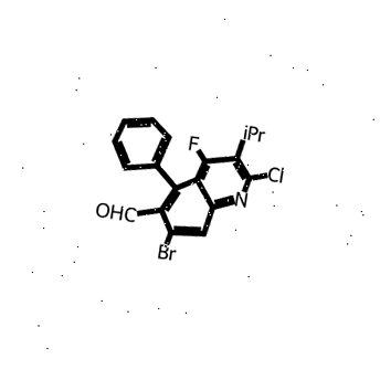 CC(C)c1c(Cl)nc2cc(Br)c(C=O)c(-c3ccccc3)c2c1F